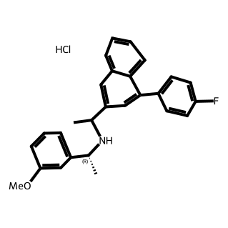 COc1cccc([C@@H](C)NC(C)c2cc(-c3ccc(F)cc3)c3ccccc3c2)c1.Cl